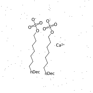 CCCCCCCCCCCCCCCCCOS(=O)(=O)[O-].CCCCCCCCCCCCCCCCCOS(=O)(=O)[O-].[Ca+2]